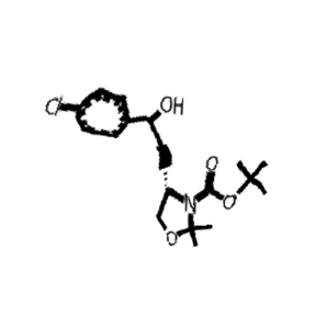 CC(C)(C)OC(=O)N1[C@@H](C#CC(O)c2ccc(Cl)cc2)COC1(C)C